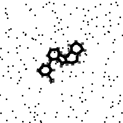 Clc1cccc(-c2cccc3c2oc2ccc4ccccc4c23)c1